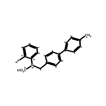 Cc1ccc(-c2ccc(CN(C(=O)O)c3ccccc3F)cc2)cc1